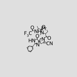 CC(C)CC(C(=O)N1C[C@@]2(C[C@H]1C#N)N=C(c1ccccc1)NC2=O)N(C)C(=O)C(C)NC(=O)C(F)(F)F